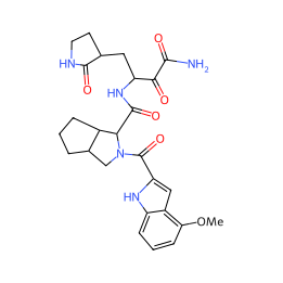 COc1cccc2[nH]c(C(=O)N3CC4CCCC4C3C(=O)NC(CC3CCNC3=O)C(=O)C(N)=O)cc12